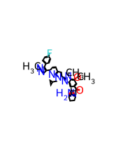 COc1cc(C(=O)N2CC3CCC2[C@@H]3N)cc2nc(-c3cc4ccc(-c5cnn(C)c5-c5ccc(F)cc5)nc4n3CC3CC3)n(C)c12